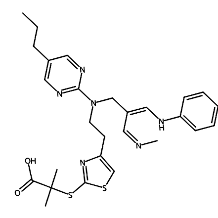 CCCc1cnc(N(CCc2csc(SC(C)(C)C(=O)O)n2)CC(/C=N\C)=C/Nc2ccccc2)nc1